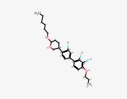 CCCCCCOC1CCC(c2ccc(-c3ccc(OCCC)c(F)c3F)cc2F)CO1